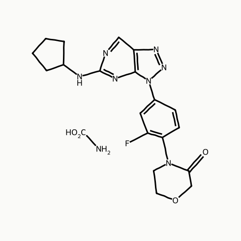 NC(=O)O.O=C1COCCN1c1ccc(-n2nnc3cnc(NC4CCCC4)nc32)cc1F